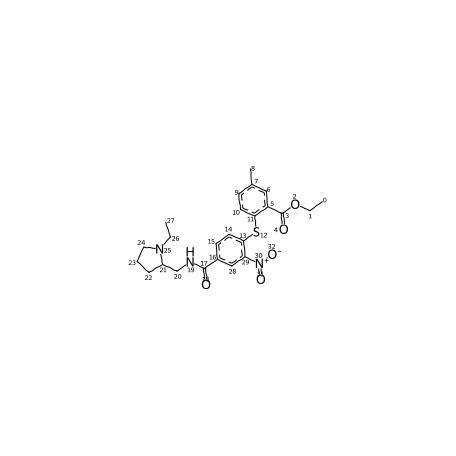 CCOC(=O)c1cc(C)ccc1Sc1ccc(C(=O)NCC2CCCN2CC)cc1[N+](=O)[O-]